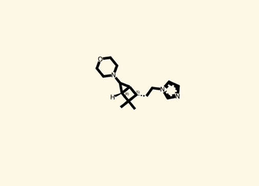 CC1(C)[C@H]2C(C2N2CCOCC2)[C@@H]1CCn1ccnc1